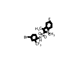 Cc1c(S(=O)(=O)Nc2ccc(Br)cc2C(F)(F)F)n(C)c2ccc(F)cc12